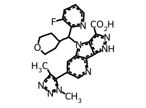 Cc1nnn(C)c1-c1cnc2c3[nH]nc(C(=O)O)c3n(C(c3ncccc3F)C3CCOCC3)c2c1